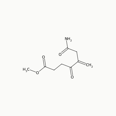 C=C(CC(N)=O)C(=O)CCC(=O)OC